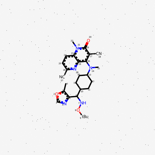 Cc1ocnc1C(NOC(C)(C)C)C1CCC(N(C)c2c(C#N)c(=O)n(C)c3ccc(C#N)nc23)CC1